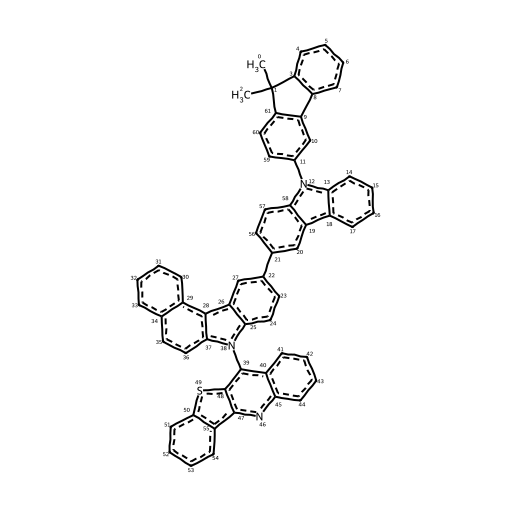 CC1(C)c2ccccc2-c2cc(-n3c4ccccc4c4cc(-c5ccc6c(c5)c5c7ccccc7ccc5n6-c5c6ccccc6nc6c5sc5ccccc56)ccc43)ccc21